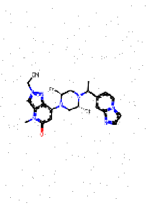 CC[C@H]1CN(C(C)c2ccn3ccnc3c2)[C@H](CC)CN1c1cc(=O)n(C)c2cn(CC#N)nc12